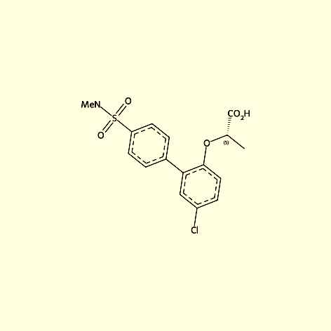 CNS(=O)(=O)c1ccc(-c2cc(Cl)ccc2O[C@@H](C)C(=O)O)cc1